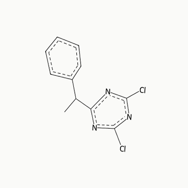 CC(c1ccccc1)c1nc(Cl)nc(Cl)n1